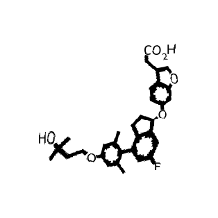 Cc1cc(OCCC(C)(C)O)cc(C)c1-c1cc(F)cc2c1CC[C@H]2Oc1ccc2c(c1)OCC2CC(=O)O